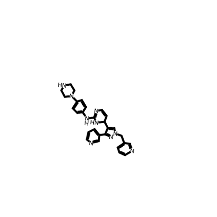 C1=CC(c2cn(Cc3cccnc3)nc2-c2cccnc2)NC(Nc2ccc(N3CCNCC3)cc2)=N1